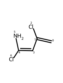 C=C(Cl)/C=C(\N)Cl